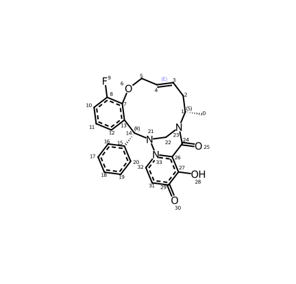 C[C@H]1C/C=C/COc2c(F)cccc2[C@@H](c2ccccc2)N2CN1C(=O)c1c(O)c(=O)ccn12